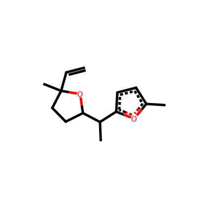 C=CC1(C)CCC(C(C)c2ccc(C)o2)O1